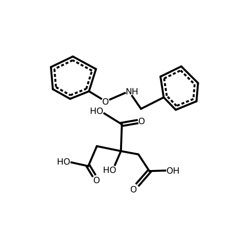 O=C(O)CC(O)(CC(=O)O)C(=O)O.c1ccc(CNOc2ccccc2)cc1